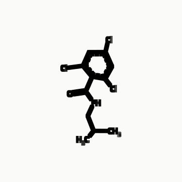 CC(C)CPC(=O)c1c(Cl)cc(Cl)cc1Cl